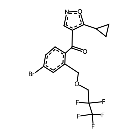 O=C(c1ccc(Br)cc1COCC(F)(F)C(F)(F)F)c1cnoc1C1CC1